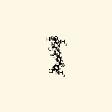 CC[C@H]1CN(c2nc(N)c(C(=O)NC)nc2Cl)CCN1C1CCN(C(=O)c2ccc(Cl)c(N)c2)CC1